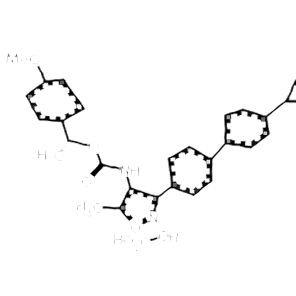 COc1ccc([C@@H](C)OC(=O)Nc2c(-c3ccc(-c4ccc(C5CC5)cc4)cc3)noc2C)cc1.O=C(O)O